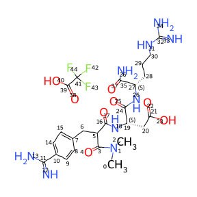 CN(C)C(=O)C(Cc1ccc(C(=N)N)cc1)C(=O)N[C@@H](CC(=O)O)C(=O)N[C@@H](CCCNC(=N)N)C(N)=O.O=C(O)C(F)(F)F